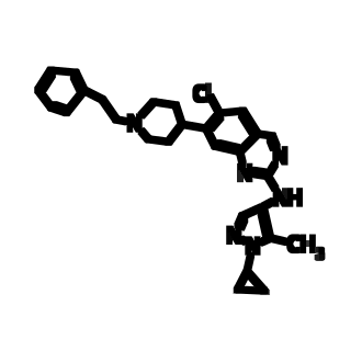 Cc1c(Nc2ncc3cc(Cl)c(C4CCN(CCc5ccccc5)CC4)cc3n2)cnn1C1CC1